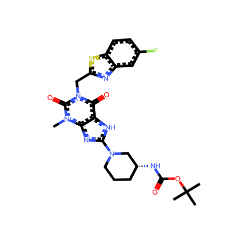 Cn1c(=O)n(Cc2nc3cc(F)ccc3s2)c(=O)c2[nH]c(N3CCC[C@@H](NC(=O)OC(C)(C)C)C3)nc21